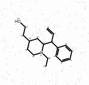 C=CC(c1ccccc1)C1CC(CCO)CCN1CC